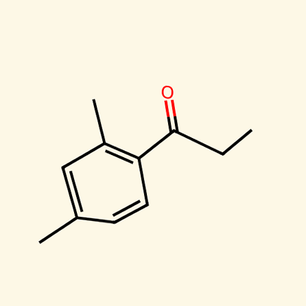 CCC(=O)c1ccc(C)cc1C